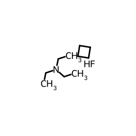 C1CCC1.CCN(CC)CC.F